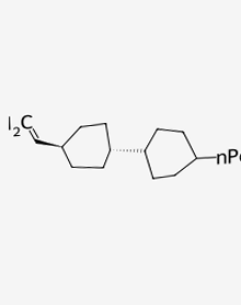 C=C[C@H]1CC[C@H](C2CCC(CCCCC)CC2)CC1